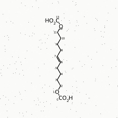 O=C(O)OCCCCC=CCCCCOC(=O)O